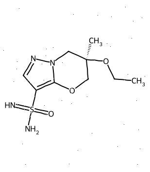 CCO[C@@]1(C)COc2c(S(=N)(N)=O)cnn2C1